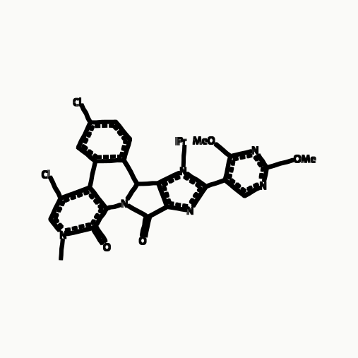 COc1ncc(-c2nc3c(n2C(C)C)C2c4ccc(Cl)cc4-c4c(Cl)cn(C)c(=O)c4N2C3=O)c(OC)n1